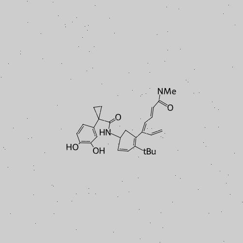 C=C/C(=C\C=C\C(=O)NC)C1=C(C(C)(C)C)C=CC(NC(=O)C2(c3ccc(O)c(O)c3)CC2)C1